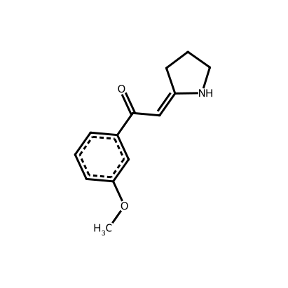 COc1cccc(C(=O)C=C2CCCN2)c1